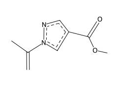 C=C(C)n1cc(C(=O)OC)cn1